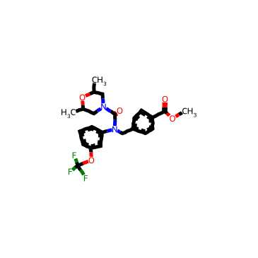 COC(=O)c1ccc(CN(C(=O)N2CC(C)OC(C)C2)c2cccc(OC(F)(F)F)c2)cc1